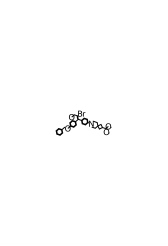 COC(OC)C1CC2(CCN(c3ccc(C4=C(Br)COc5cc(OCc6ccccc6)ccc54)cc3)CC2)C1